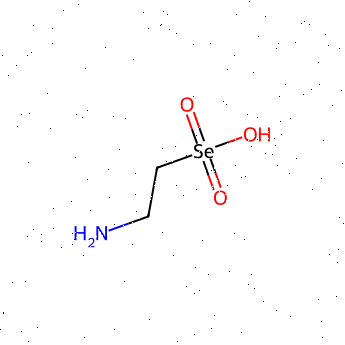 NCC[Se](=O)(=O)O